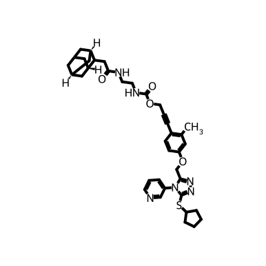 Cc1cc(OCc2nnc(SC3CCCC3)n2-c2cccnc2)ccc1C#CCOC(=O)NCCNC(=O)CC1[C@H]2CC3C[C@H](C2)C[C@H]1C3